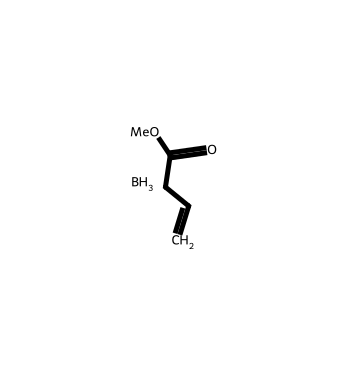 B.C=CCC(=O)OC